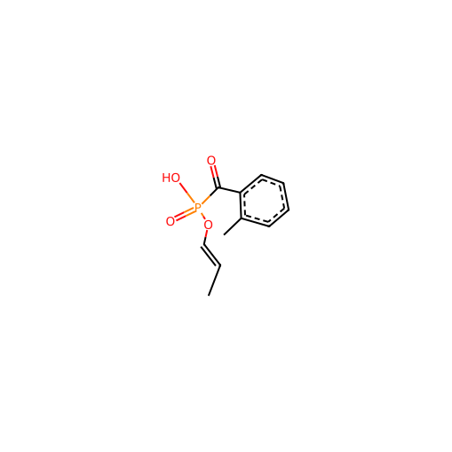 CC=COP(=O)(O)C(=O)c1ccccc1C